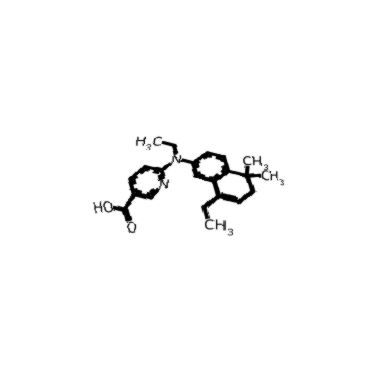 CCC1=CCC(C)(C)c2ccc(N(CC)c3ccc(C(=O)O)cn3)cc21